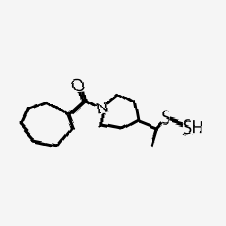 CC(SS)C1CCN(C(=O)C2CCCCCC2)CC1